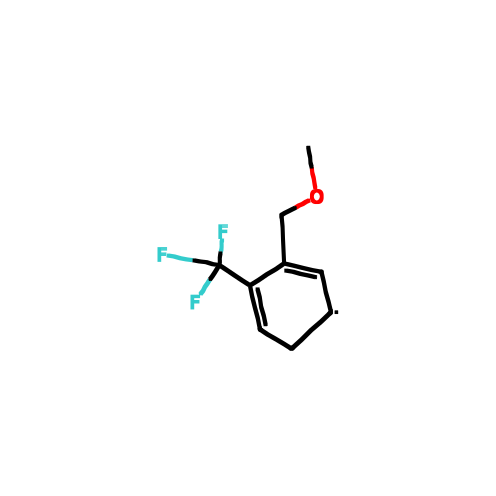 COCC1=C[CH]CC=C1C(F)(F)F